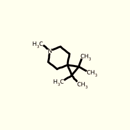 CN1CCC2(CC1)C(C)(C)C2(C)C